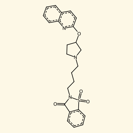 O=C1c2ccccc2S(=O)(=O)N1CCCCN1CCC(Oc2ccc3ccccc3n2)C1